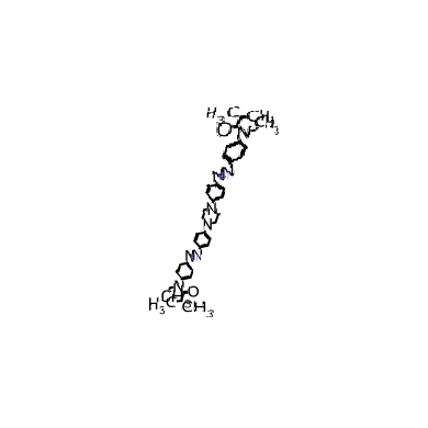 C=C(C)C(=O)N(CC)c1ccc(/N=N/c2ccc(N3CCN(c4ccc(/N=N/c5ccc(N(CC)C(=O)C(C)C)cc5)cc4)CC3)cc2)cc1